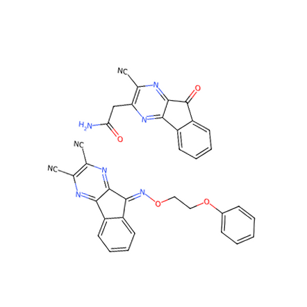 N#Cc1nc2c(nc1C#N)-c1ccccc1C2=NOCCOc1ccccc1.N#Cc1nc2c(nc1CC(N)=O)-c1ccccc1C2=O